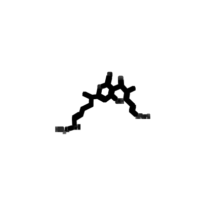 CCCCCC=CC=C(C)C(=O)c1c(O)cc(C(C)CCC=CNC(=O)O)oc1=O